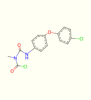 CN(C(=O)Cl)C(=O)Nc1ccc(Oc2ccc(Cl)cc2)cc1